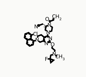 C=CC(=O)N1CCN(c2nc(OCCN(C)CC3(F)CC3)nc3c2CCN(c2cccc4cccc(Cl)c24)C3)C[C@@H]1CC#N